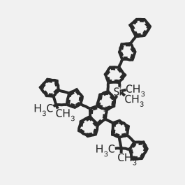 CC1(C)c2ccccc2-c2ccc(-c3c4ccccc4c(-c4ccc5c(c4)C(C)(C)c4ccccc4-5)c4cc5c(cc34)-c3ccc(-c4ccc(-c6ccccc6)cc4)cc3[Si]5(C)C)cc21